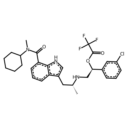 C[C@H](Cc1c[nH]c2c(C(=O)N(C)C3CCCCC3)cccc12)NC[C@@H](OC(=O)C(F)(F)F)c1cccc(Cl)c1